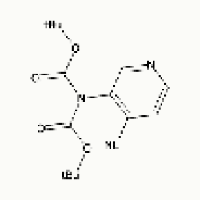 CC(C)(C)OC(=O)N(C(=O)OC(C)(C)C)c1cnccc1C#N